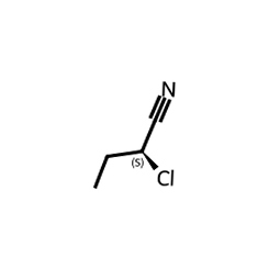 CC[C@H](Cl)C#N